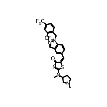 CN1CCC(N(C)C2=NC(=O)C(=Cc3ccc4c(cnn4Cc4ccc(C(F)(F)F)cc4C(F)(F)F)c3)S2)C1